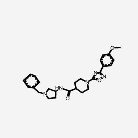 COc1ccc(-c2noc(N3CCC(C(=O)N[C@H]4CCN(Cc5ccccc5)C4)CC3)n2)cc1